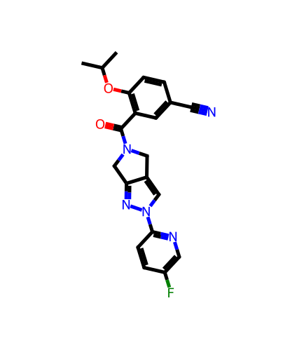 CC(C)Oc1ccc(C#N)cc1C(=O)N1Cc2cn(-c3ccc(F)cn3)nc2C1